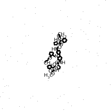 CCCCOc1ccccc1Cn1c2cc(NC(=O)[C@@H]3CCCN3C(=O)[C@H](NC(=O)OC)c3ccccc3)ccc2c2ccc(NC(=O)[C@@H]3CCCN3C(=O)[C@H](NC(=O)OC)c3ccccc3)cc21